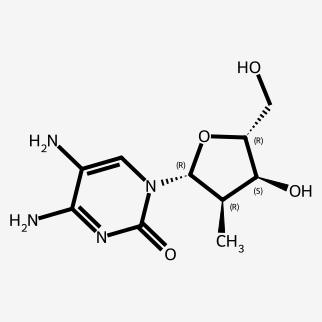 C[C@@H]1[C@H](O)[C@@H](CO)O[C@H]1n1cc(N)c(N)nc1=O